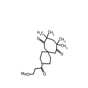 COCCC(=O)N1CCC2(CC1)CC(=O)C(C)(C)CC(C)(C)C(=O)C2